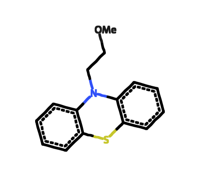 COCCN1c2ccccc2Sc2ccccc21